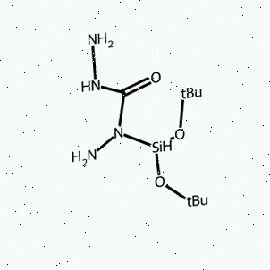 CC(C)(C)O[SiH](OC(C)(C)C)N(N)C(=O)NN